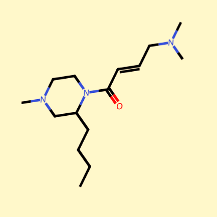 CCCCC1CN(C)CCN1C(=O)/C=C/CN(C)C